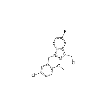 COc1ccc(Cl)cc1Cn1nc(CCl)c2cc(F)ccc21